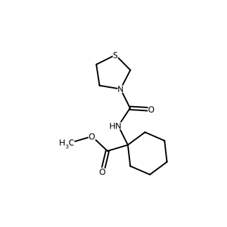 COC(=O)C1(NC(=O)N2CCSC2)CCCCC1